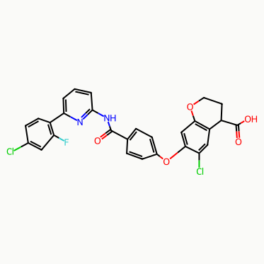 O=C(Nc1cccc(-c2ccc(Cl)cc2F)n1)c1ccc(Oc2cc3c(cc2Cl)C(C(=O)O)CCO3)cc1